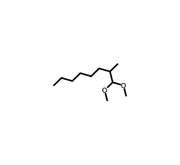 CCCCCCC(C)C(OC)OC